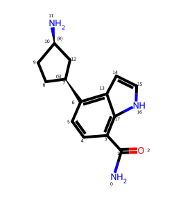 NC(=O)c1ccc([C@H]2CC[C@@H](N)C2)c2cc[nH]c12